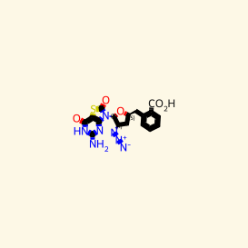 [N-]=[N+]=N[C@@H]1C[C@H](Cc2ccccc2C(=O)O)O[C@H]1n1c(=O)sc2c(=O)[nH]c(N)nc21